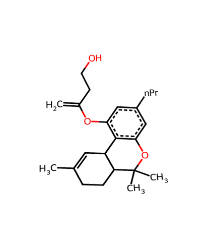 C=C(CCO)Oc1cc(CCC)cc2c1C1C=C(C)CCC1C(C)(C)O2